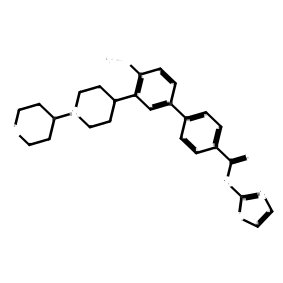 COc1ccc(-c2ccc(C(=O)Nc3nccs3)cc2)cc1C1CCN(C2CCOCC2)CC1